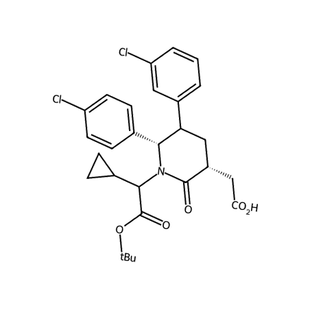 CC(C)(C)OC(=O)C(C1CC1)N1C(=O)[C@@H](CC(=O)O)CC(c2cccc(Cl)c2)[C@H]1c1ccc(Cl)cc1